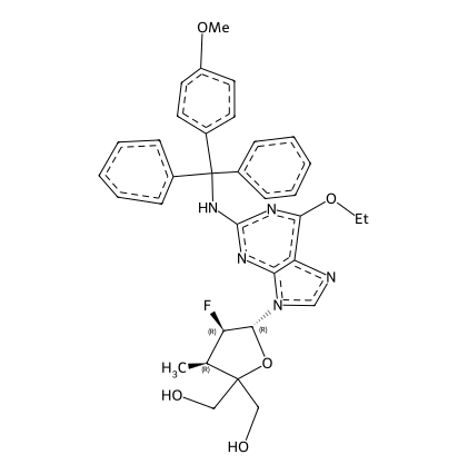 CCOc1nc(NC(c2ccccc2)(c2ccccc2)c2ccc(OC)cc2)nc2c1ncn2[C@@H]1OC(CO)(CO)[C@@H](C)[C@H]1F